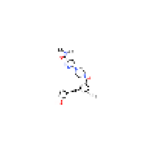 CCN(CC)C(=O)c1ccc(N2CCN(C(=O)c3cc(C#Cc4cccc(O)c4)cc(C(F)(F)F)c3)CC2)nn1